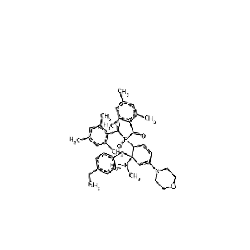 Cc1cc(C)c(C(=O)P(=O)(C(=O)c2c(C)cc(C)cc2C)C2C=CC(N3CCOCC3)=CC2(Cc2ccc(CN)cc2)N(C)C)c(C)c1